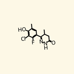 Cc1cc(C2=NNC(=O)CC2C)c(F)c(Cl)c1O